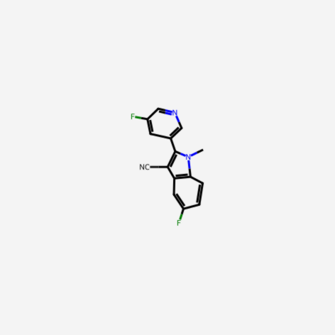 Cn1c(-c2cncc(F)c2)c(C#N)c2cc(F)ccc21